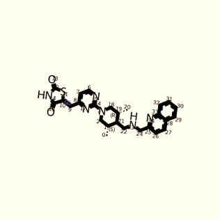 C[C@@H]1CN(c2nccc(/C=C3\SC(=O)NC3=O)n2)C[C@H](C)C1CNCc1ccc2ccccc2n1